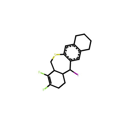 FC1=C(F)C2CSc3cc4c(cc3C(I)C2CC1)CCCC4